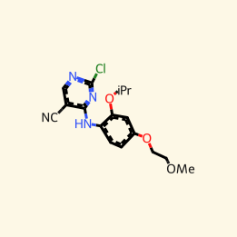 COCCOc1ccc(Nc2nc(Cl)ncc2C#N)c(OC(C)C)c1